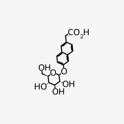 O=C(O)Cc1ccc2cc(O[C@@H]3O[C@H](CO)[C@@H](O)[C@H](O)[C@H]3O)ccc2c1